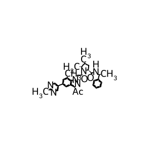 CC(=O)c1nn(CC(=O)N2[C@H](C)[C@@H](C)C[C@H]2C(=O)N[C@@H](C)c2ccccc2)c2c(C)cc(-c3cnc(C)nc3)cc12